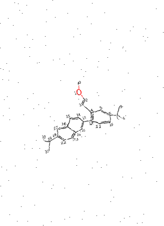 CO/C=C/c1cc(C(C)C)ccc1-c1ccc2cc(C(C)C)ccc2c1